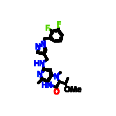 CO[C@H](C)[C@H]1C(=O)Nc2c(cc(NCc3cnn(Cc4cccc(F)c4F)c3)nc2C)N1C